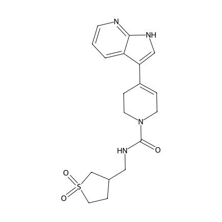 O=C(NCC1CCS(=O)(=O)C1)N1CC=C(c2c[nH]c3ncccc23)CC1